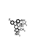 COc1nc(-c2cc(F)ccc2C2Cc3nc(N)nc(C)c3[C@@H](O)N2)ccc1N